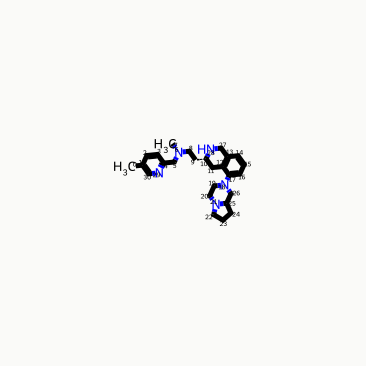 Cc1ccc(CN(C)CC[C@H]2Cc3c(cccc3N3CCN4CCCC4C3)CN2)nc1